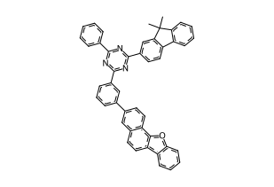 CC1(C)c2ccccc2-c2ccc(-c3nc(-c4ccccc4)nc(-c4cccc(-c5ccc6c(ccc7c8ccccc8oc67)c5)c4)n3)cc21